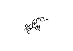 COc1cc(N2CCC(CN3CCNCC3)CC2)c(-c2cnn(C)c2)cc1[N+](=O)[O-]